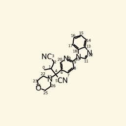 CC(CC#N)C(C#N)(c1ccc(-n2cnc3ccccc32)nc1)N1CCOCC1